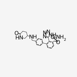 NS(=O)(=O)c1cccc(-c2ccc(CNC3CCC(=O)NC3)cc2)c1-c1nnn[nH]1